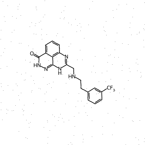 O=c1[nH]nc2c3c(cccc13)N=C(CNCCc1cccc(C(F)(F)F)c1)N2